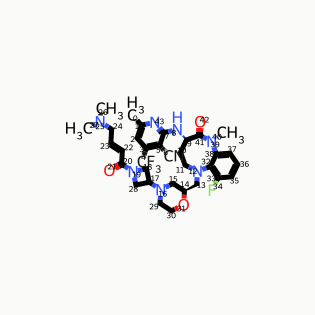 Cc1cc(C(F)(F)F)c(C#N)c(N[C@H]2CCN(C[C@@H]3CN(C4CN(C(=O)/C=C/CN(C)C)C4)CCO3)c3c(F)cccc3N(C)C2=O)n1